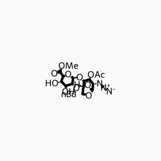 CCCCOC1C(O)[C@H](O)C(C(=O)OC)O[C@H]1OC1[C@@H](OC(C)=O)[C@H](N=[N+]=[N-])C2OC[C@H]1O2